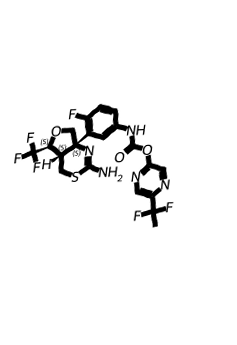 CC(F)(F)c1cnc(OC(=O)Nc2ccc(F)c([C@]34CO[C@H](C(F)(F)F)[C@H]3CSC(N)=N4)c2)cn1